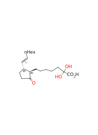 CCCCCC/C=C/[C@H]1CCC(=O)[C@@H]1CCCCCC(O)(O)C(=O)O